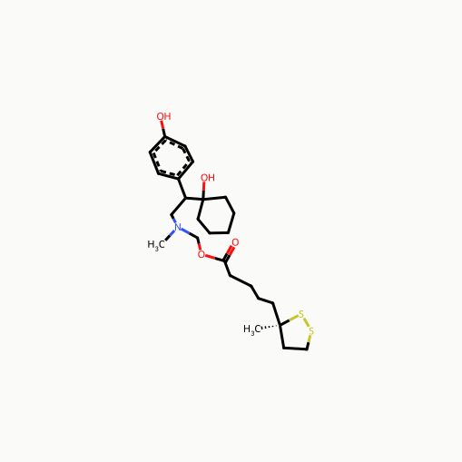 CN(COC(=O)CCCC[C@]1(C)CCSS1)CC(c1ccc(O)cc1)C1(O)CCCCC1